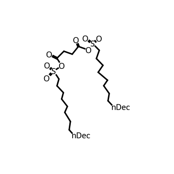 CCCCCCCCCCCCCCCCCCS(=O)(=O)OC(=O)CCC(=O)OS(=O)(=O)CCCCCCCCCCCCCCCCCC